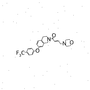 O=C(/C=C/CN1CCOCC1)N1CCc2ccc(Oc3ccc(C(F)(F)F)cc3)cc2C1